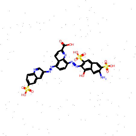 Nc1cc2c(O)c(/N=N/c3ccc(/N=N/c4cnc5ccc(S(=O)(=O)O)cc5c4)c4ccc(C(=O)O)nc34)c(S(=O)(=O)O)cc2cc1S(=O)(=O)O